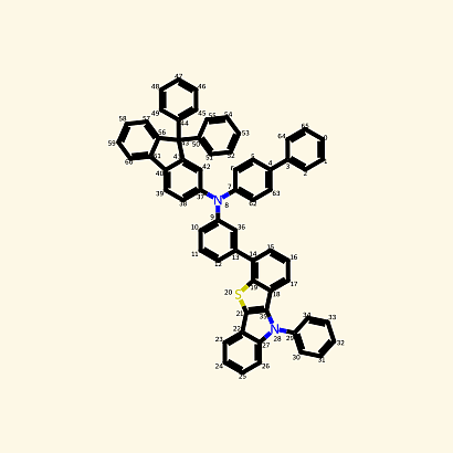 c1ccc(-c2ccc(N(c3cccc(-c4cccc5c4sc4c6ccccc6n(-c6ccccc6)c54)c3)c3ccc4c(c3)C(c3ccccc3)(c3ccccc3)c3ccccc3-4)cc2)cc1